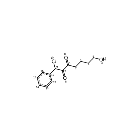 O=C(CCCCO)C(=O)C(Cl)c1ccccc1